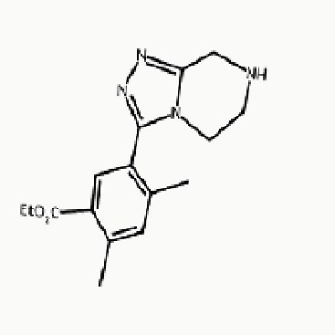 CCOC(=O)c1cc(-c2nnc3n2CCNC3)c(C)cc1C